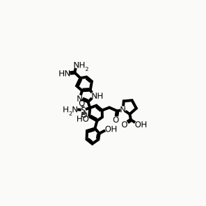 N=C(N)c1ccc2[nH]c(C3(S(N)(=O)=O)C=C(CC(=O)N4CCCC4C(=O)O)CC(c4ccccc4O)=C3O)nc2c1